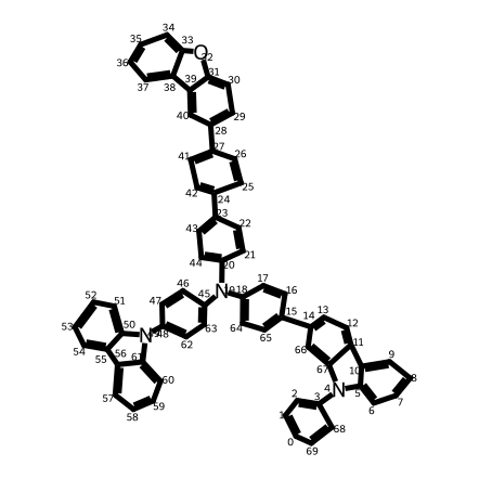 c1ccc(-n2c3ccccc3c3ccc(-c4ccc(N(c5ccc(-c6ccc(-c7ccc8oc9ccccc9c8c7)cc6)cc5)c5ccc(-n6c7ccccc7c7ccccc76)cc5)cc4)cc32)cc1